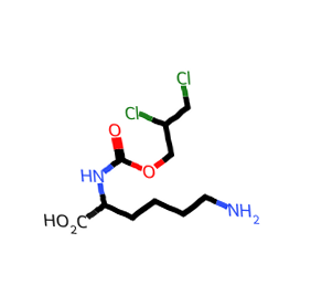 NCCCCC(NC(=O)OCC(Cl)CCl)C(=O)O